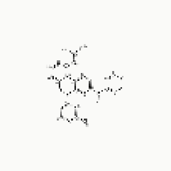 CN(c1ccccc1)c1ccc2c(c1)C(c1cccc(Cl)c1)Oc1cccc(OC(F)F)c1-2